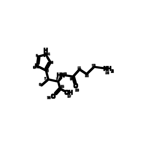 CC(c1c[nH]cn1)[C@@H](NC(=O)CCCN)C(=O)O